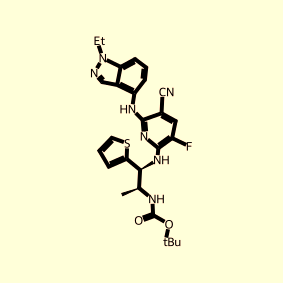 CCn1ncc2c(Nc3nc(N[C@H](c4cccs4)[C@H](C)NC(=O)OC(C)(C)C)c(F)cc3C#N)cccc21